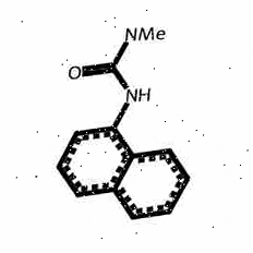 CNC(=O)Nc1cccc2ccccc12